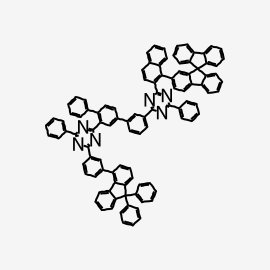 c1ccc(-c2nc(-c3cccc(-c4cccc5c4-c4ccccc4C5(c4ccccc4)c4ccccc4)c3)nc(-c3cc(-c4cccc(-c5nc(-c6ccccc6)nc(-c6ccc7ccccc7c6-c6ccc7c(c6)C6(c8ccccc8-c8ccccc86)c6ccccc6-7)n5)c4)ccc3-c3ccccc3)n2)cc1